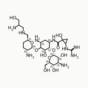 N=C(N)NC1CC1(O)C(=O)N[C@@H]1C[C@H](N)C(O[C@H]2O[C@H](CNCC(N)CO)CC[C@H]2N)[C@H](O)[C@H]1O[C@H]1O[C@H](CO)[C@@H](O)[C@H](N)[C@H]1O